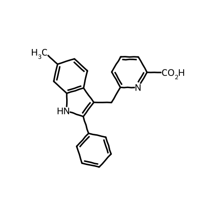 Cc1ccc2c(Cc3cccc(C(=O)O)n3)c(-c3ccccc3)[nH]c2c1